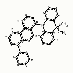 CC1(C)c2ccccc2N(c2ccnc3c2ccc2c(-c4ccccc4)ccnc23)c2ccccc21